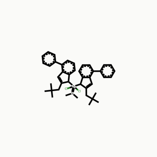 C[Si](C)=[Zr]([Cl])([Cl])([CH]1C(CC(C)(C)C)=Cc2c(-c3ccccc3)cccc21)[CH]1C(CC(C)(C)C)=Cc2c(-c3ccccc3)cccc21